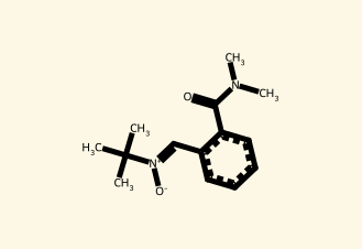 CN(C)C(=O)c1ccccc1/C=[N+](\[O-])C(C)(C)C